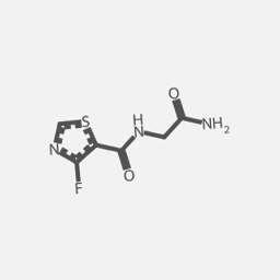 NC(=O)CNC(=O)c1scnc1F